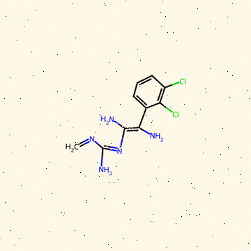 C=N/C(N)=N\C(N)=C(/N)c1cccc(Cl)c1Cl